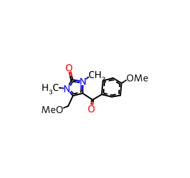 COCc1c(C(=O)c2ccc(OC)cc2)n(C)c(=O)n1C